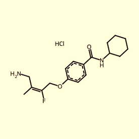 CC(CN)=C(F)COc1ccc(C(=O)NC2CCCCC2)cc1.Cl